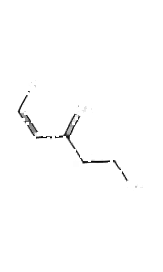 N=C(/C=C\N)CCO